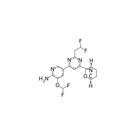 Nc1ncc(-c2cc(N3C[C@@H]4CC[C@H]3CO4)nc(CC(F)F)n2)cc1OC(F)F